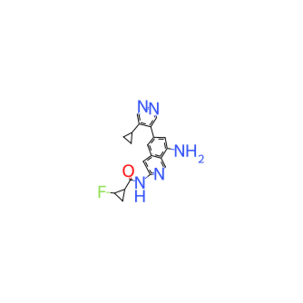 Nc1cc(-c2cnncc2C2CC2)cc2cc(NC(=O)C3CC3F)ncc12